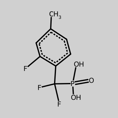 Cc1ccc(C(F)(F)P(=O)(O)O)c(F)c1